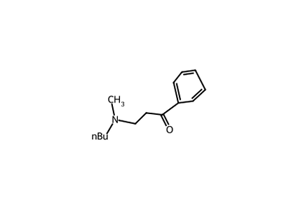 CCCCN(C)CCC(=O)c1ccccc1